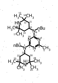 CCCCN(c1nc(C)nc(N(CCCC)C2CC(C)(C)NC(C)(C)C2)n1)C1CC(C)(C)NC(C)(C)C1